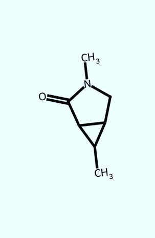 CC1C2CN(C)C(=O)C12